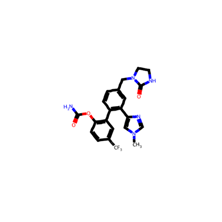 Cn1cnc(-c2cc(CN3CCNC3=O)ccc2-c2cc(C(F)(F)F)ccc2OC(N)=O)c1